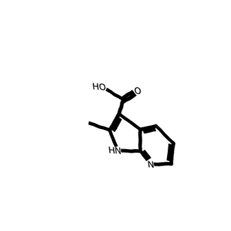 Cc1[nH]c2ncccc2c1C(=O)O